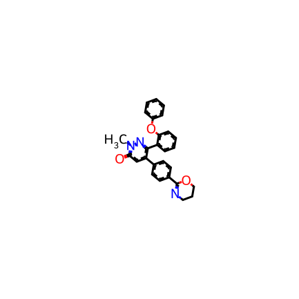 Cn1nc(-c2ccccc2Oc2ccccc2)c(-c2ccc(C3=NCCCO3)cc2)cc1=O